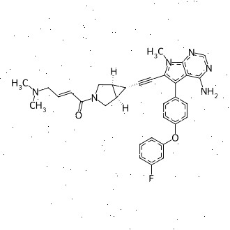 CN(C)C/C=C/C(=O)N1C[C@@H]2[C@@H](C#Cc3c(-c4ccc(Oc5cccc(F)c5)cc4)c4c(N)ncnc4n3C)[C@@H]2C1